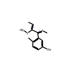 C/C=C(SCCCC)/C(=N/C)c1cc(O)ccc1C